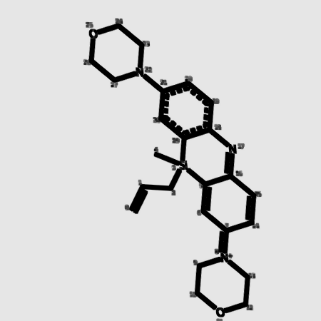 C=CC[Si]1(C)C2=CC(=[N+]3CCOCC3)C=CC2=Nc2ccc(N3CCOCC3)cc21